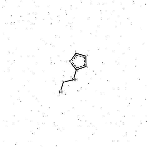 NCNc1cccs1